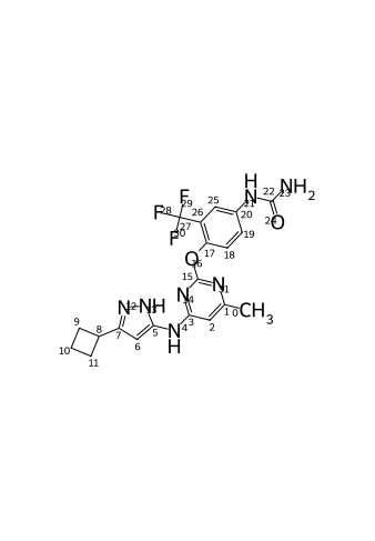 Cc1cc(Nc2cc(C3CCC3)n[nH]2)nc(Oc2ccc(NC(N)=O)cc2C(F)(F)F)n1